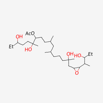 CCC(O)CCC(C)(O)C(CCC(C)CC(C)CCCC(C)(O)CC1OC1C(C)C(O)CC)OC(C)=O